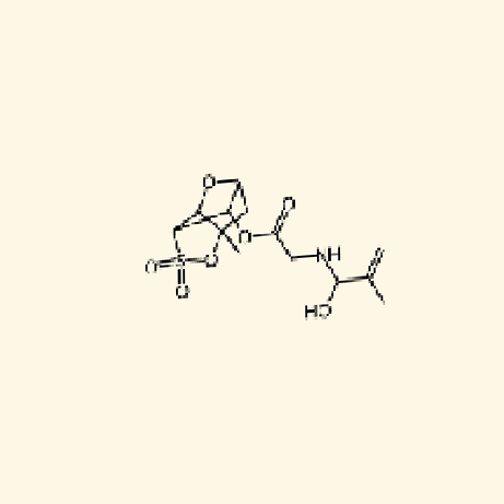 C=C(C)C(O)NCC(=O)OC1C2CC3(C)OS(=O)(=O)C1C3O2